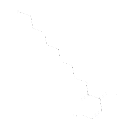 C=C(/C=C\CCC)C(=O)NCCOCCOCCN